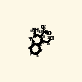 Nc1nc2ccccc2c(CCl)c1[N+](=O)[O-]